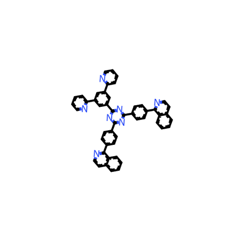 c1ccc(-c2cc(-c3ccccn3)cc(-c3nc(-c4ccc(-c5nccc6ccccc56)cc4)nc(-c4ccc(-c5nccc6ccccc56)cc4)n3)c2)nc1